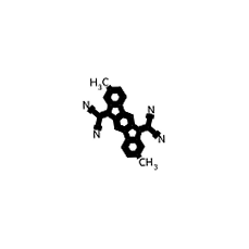 Cc1ccc2c(c1)C(=C(C#N)C#N)c1cc3c(cc1-2)C(=C(C#N)C#N)c1cc(C)ccc1-3